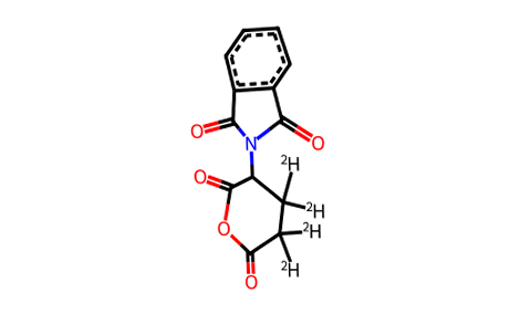 [2H]C1([2H])C(=O)OC(=O)C(N2C(=O)c3ccccc3C2=O)C1([2H])[2H]